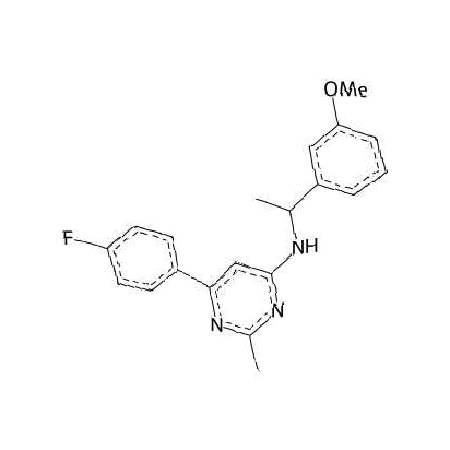 COc1cccc(C(C)Nc2cc(-c3ccc(F)cc3)nc(C)n2)c1